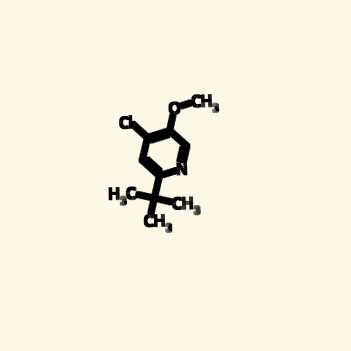 COc1cnc(C(C)(C)C)cc1Cl